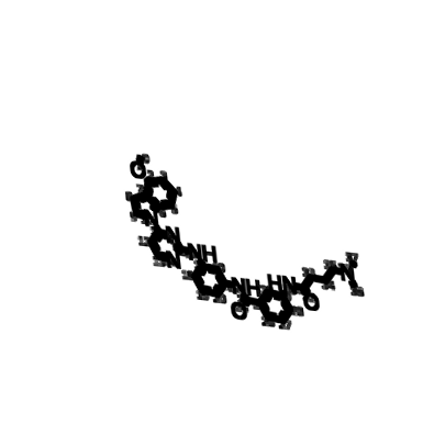 COc1cccc2c1ccn2-c1ccnc(Nc2cccc(NC(=O)c3cccc(NC(=O)CCCN(C)C)c3)c2)n1